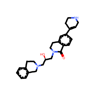 O=C1c2ccc(C3=CCNCC3)cc2CCN1C[C@H](O)CN1CCc2ccccc2C1